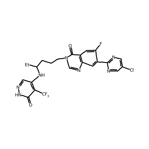 CCC(CCCn1cnc2cc(-c3ncc(Cl)cn3)c(F)cc2c1=O)Nc1cn[nH]c(=O)c1C(F)(F)F